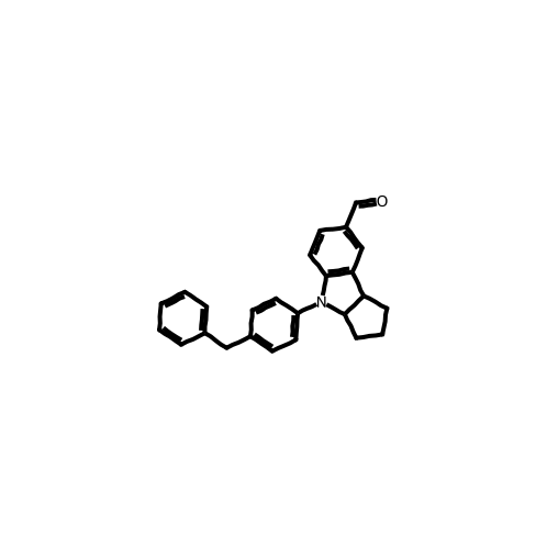 O=Cc1ccc2c(c1)C1CCCC1N2c1ccc(Cc2ccccc2)cc1